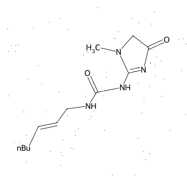 CCCCC=CCNC(=O)NC1=NC(=O)CN1C